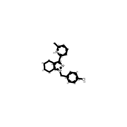 Cc1cccc(-c2nn(Cc3ccc(Cl)cc3)c3c2CCCC3)n1